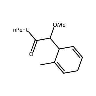 CCCCCC(=O)C(OC)C1C=CCC=C1C